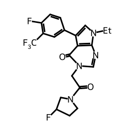 CCn1cc(-c2ccc(F)c(C(F)(F)F)c2)c2c(=O)n(CC(=O)N3CCC(F)C3)cnc21